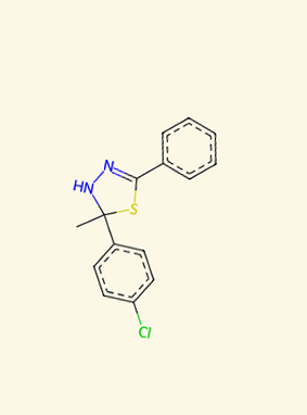 CC1(c2ccc(Cl)cc2)NN=C(c2ccccc2)S1